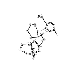 COc1ccc(F)cc1[C@H]1NCC[C@@H](c2cccc(Cl)c2)[C@]12C(=O)Nc1cc(Cl)ccc12